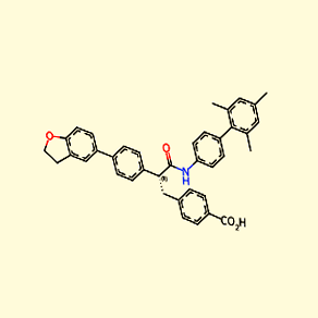 Cc1cc(C)c(-c2ccc(NC(=O)[C@H](Cc3ccc(C(=O)O)cc3)c3ccc(-c4ccc5c(c4)CCO5)cc3)cc2)c(C)c1